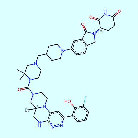 CC[C@]12CNc3nnc(-c4cccc(F)c4O)cc3N1CCN(C(=O)N1CCN(CC3CCN(c4ccc5c(c4)C(=O)N([C@@H]4CCC(=O)NC4=O)C5)CC3)CC1(C)C)C2